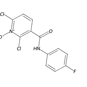 O=C(Nc1ccc(F)cc1)c1ccc(Cl)[n+]([O-])c1Cl